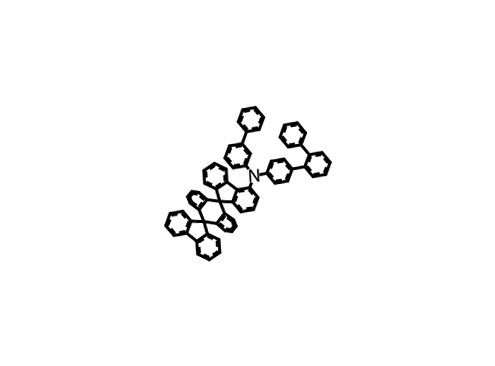 c1ccc(-c2cccc(N(c3ccc(-c4ccccc4-c4ccccc4)cc3)c3cccc4c3-c3ccccc3C43c4ccccc4C4(c5ccccc5-c5ccccc54)c4ccccc43)c2)cc1